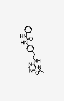 Cc1nc2c(NCCc3ccc(NC(=O)Nc4ccccc4)cc3)ncnc2o1